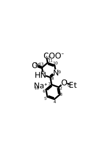 CCOc1ccccc1-c1ncc(C(=O)[O-])c(=O)[nH]1.[Na+]